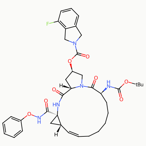 CC(C)(C)OC(=O)N[C@H]1CCCCCC=C[C@@H]2C[C@@]2(C(=O)NOc2ccccc2)NC(=O)[C@@H]2C[C@@H](OC(=O)N3Cc4cccc(F)c4C3)CN2C1=O